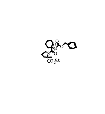 CCOC(=O)[C@]1(C)CCCN1C(=O)C1(NC(=O)OCc2ccccc2)CCCCC1